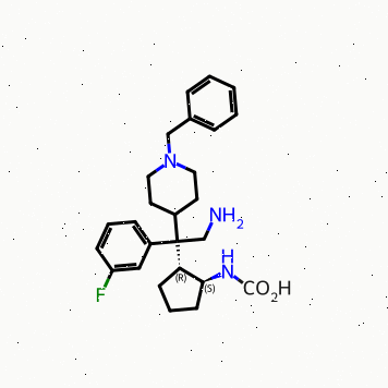 NCC(c1cccc(F)c1)(C1CCN(Cc2ccccc2)CC1)[C@H]1CCC[C@@H]1NC(=O)O